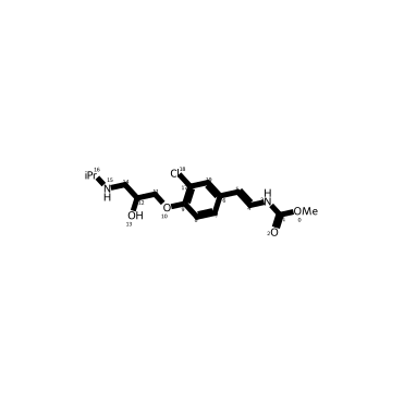 COC(=O)N/C=C/c1ccc(OCC(O)CNC(C)C)c(Cl)c1